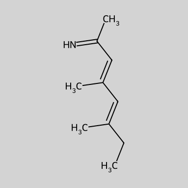 CC/C(C)=C/C(C)=C/C(C)=N